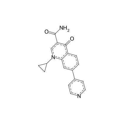 NC(=O)c1cn(C2CC2)c2cc(-c3ccncc3)ccc2c1=O